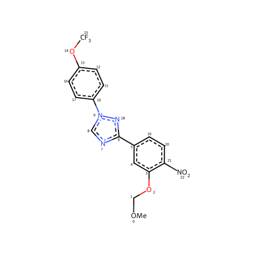 COCOc1cc(-c2ncn(-c3ccc(OC(F)(F)F)cc3)n2)ccc1[N+](=O)[O-]